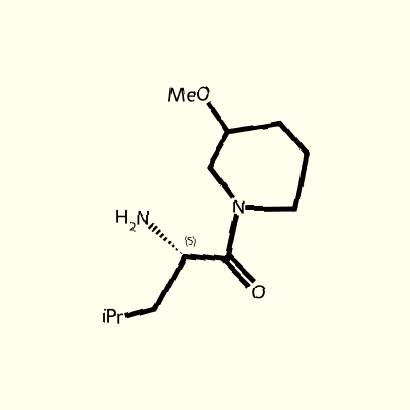 COC1CCCN(C(=O)[C@@H](N)CC(C)C)C1